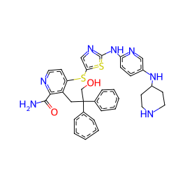 NC(=O)c1nccc(Sc2cnc(Nc3ccc(NC4CCNCC4)cn3)s2)c1CC(CO)(c1ccccc1)c1ccccc1